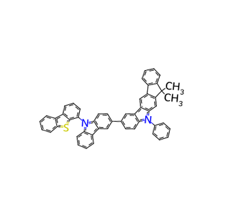 CC1(C)c2ccccc2-c2cc3c4cc(-c5ccc6c(c5)c5ccccc5n6-c5cccc6c5sc5ccccc56)ccc4n(-c4ccccc4)c3cc21